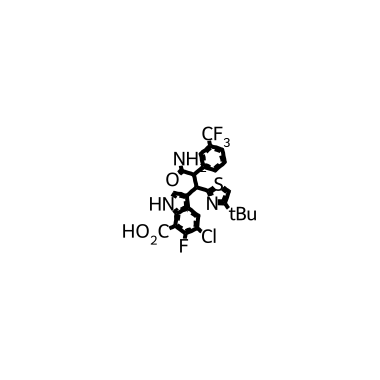 CC(C)(C)c1csc(C(c2c[nH]c3c(C(=O)O)c(F)c(Cl)cc23)C(C(N)=O)c2cccc(C(F)(F)F)c2)n1